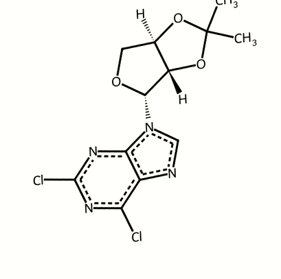 CC1(C)O[C@@H]2[C@H](n3cnc4c(Cl)nc(Cl)nc43)OC[C@H]2O1